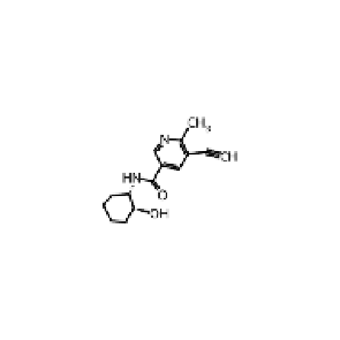 C#Cc1cc(C(=O)N[C@H]2CCCC[C@@H]2O)cnc1C